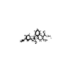 CC(=O)N1c2ccccc2N(S(=O)(=O)Cc2cccc(C#N)c2)C[C@@H]1C